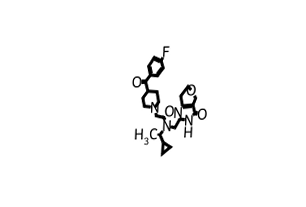 C[C@H](C1CC1)N(Cc1nc2c(c(=O)[nH]1)COCC2)C(=O)CN1CCC(C(=O)c2ccc(F)cc2)CC1